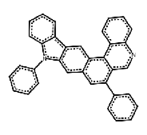 c1ccc(-c2cc3cc4c(cc3c3c2cnc2ccccc23)c2ccccc2n4-c2ccccc2)cc1